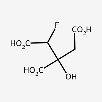 O=C(O)CC(O)(C(=O)O)C(F)C(=O)O